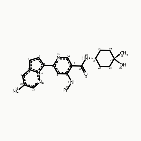 CC(C)Nc1cc(-c2ccc3cc(C#N)cnn23)ncc1C(=O)N[C@H]1CC[C@@](C)(O)CC1